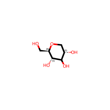 OC[C@H]1OC[C@H](O)[C](O)[C@@H]1O